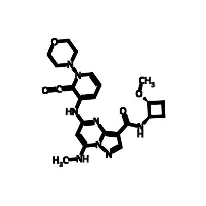 CNc1cc(NC2=CC=CN(N3CCOCC3)C2=C=O)nc2c(C(=O)N[C@@H]3CC[C@H]3OC)cnn12